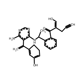 C#CC/C(=C/O)C(=O)c1ccccc1C(C)Nc1ncnc(N)c1C(=C)C1=CC(O)=CCC1